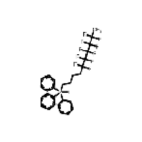 FC(F)(F)C(F)(F)C(F)(F)C(F)(F)C(F)(F)C(F)(F)CCCCP(I)(c1ccccc1)(c1ccccc1)c1ccccc1